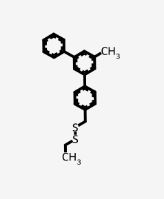 CCSSCc1ccc(-c2cc(C)cc(-c3ccccc3)c2)cc1